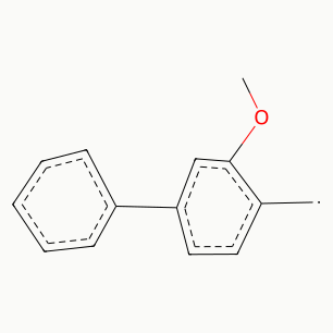 [CH2]c1ccc(-c2ccccc2)cc1OC